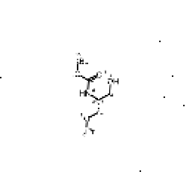 CC(C)OC[C@@H](CO)NC(=O)OC(C)(C)C